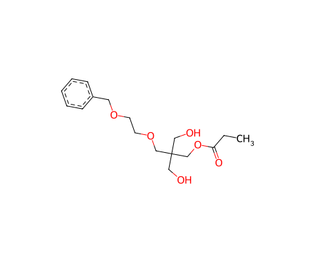 CCC(=O)OCC(CO)(CO)COCCOCc1ccccc1